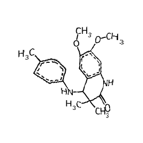 COc1cc2c(cc1OC)C(Nc1ccc(C)cc1)C(C)(C)C(=O)N2